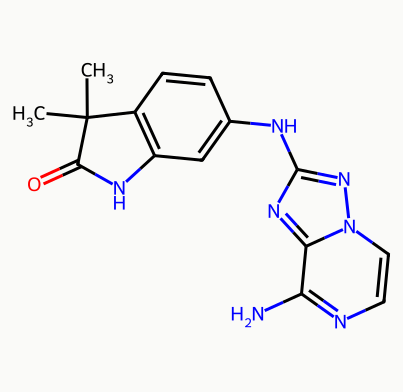 CC1(C)C(=O)Nc2cc(Nc3nc4c(N)nccn4n3)ccc21